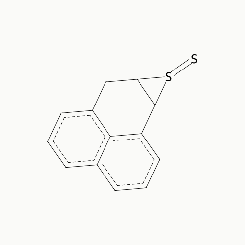 S=S1C2Cc3cccc4cccc(c34)C21